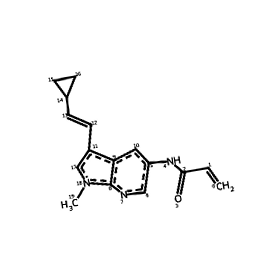 C=CC(=O)Nc1cnc2c(c1)c(C=CC1CC1)cn2C